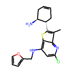 Cc1c([C@H]2CC=CC[C@@H]2N)sc2c(NCc3ccco3)cc(Cl)nc12